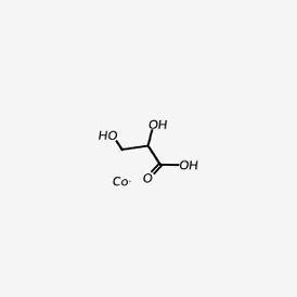 O=C(O)C(O)CO.[Co]